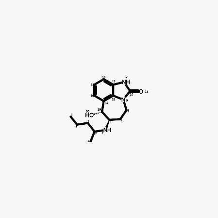 CCCC(C)N[C@@H]1CCn2c(=O)[nH]c3cccc(c32)[C@H]1O